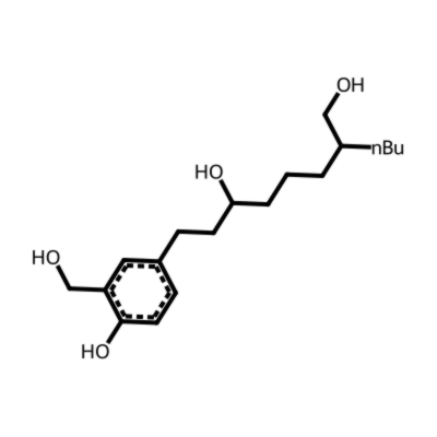 CCCCC(CO)CCCC(O)CCc1ccc(O)c(CO)c1